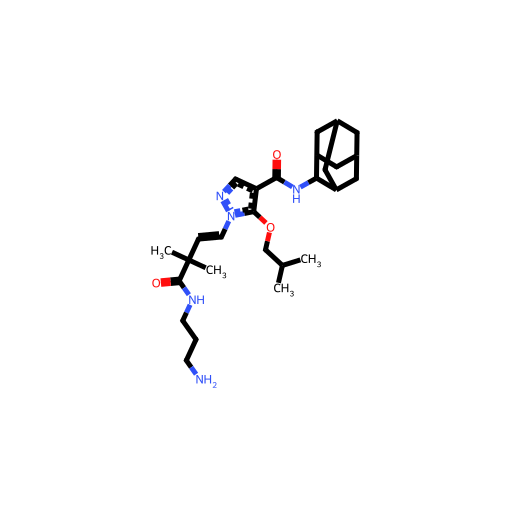 CC(C)COc1c(C(=O)NC2C3CC4CC(C3)CC2C4)cnn1/C=C/C(C)(C)C(=O)NCCCN